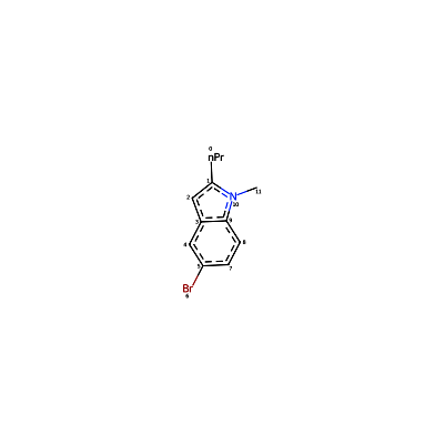 CCCc1cc2cc(Br)ccc2n1C